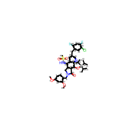 COc1ccc(CN2Cc3c(c(O[Si](C(C)C)(C(C)C)C(C)C)c4ncc(Cc5cc(Cl)c(F)cc5F)cc4c3NS(C)(=O)=O)C2=O)c(OC)c1